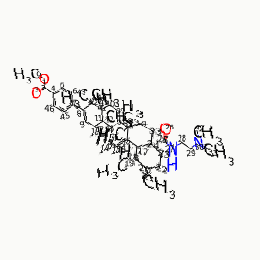 COC(=O)c1ccc(C2=CC[C@]3(C)[C@H]4CC=C5[C@@H]6[C@@H](C)[C@H](C)CC[C@]6(C(=O)NCCN(C)C)CC[C@@]5(C)[C@]4(C)CC[C@H]3C2(C)C)cc1